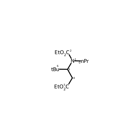 CCCN(C(=O)OCC)C(CC(=O)OCC)C(C)(C)C